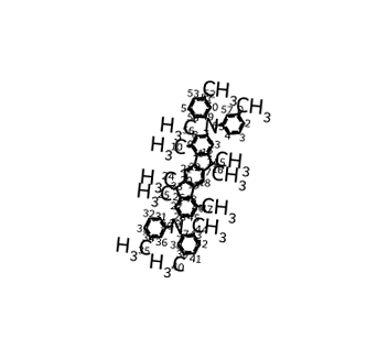 Cc1cccc(N(c2cc(C)c3c(c2)C(C)(C)c2cc4c(cc2-3)C(C)(C)c2cc(N(c3cccc(C)c3)c3cc(C)ccc3C)cc(C)c2-4)c2cc(C)ccc2C)c1